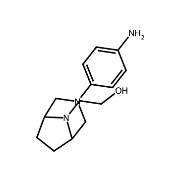 Nc1ccc(N2CC3CCC(C2)N3CCO)cc1